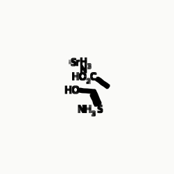 CC(=O)O.N.N.OC=S.[Sr]